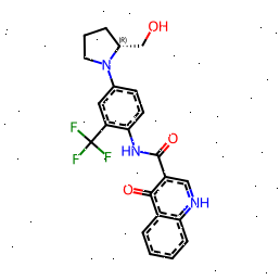 O=C(Nc1ccc(N2CCC[C@@H]2CO)cc1C(F)(F)F)c1c[nH]c2ccccc2c1=O